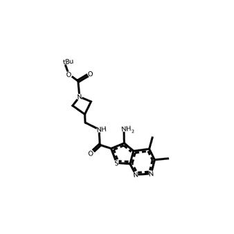 Cc1nnc2sc(C(=O)NCC3CN(C(=O)OC(C)(C)C)C3)c(N)c2c1C